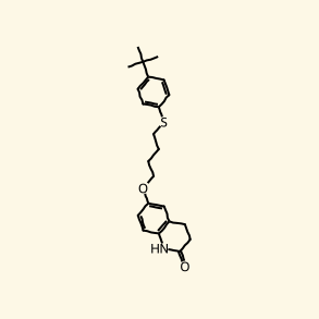 CC(C)(C)c1ccc(SCCCCOc2ccc3c(c2)CCC(=O)N3)cc1